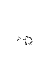 Cc1[c]nc(C2CC2)nc1